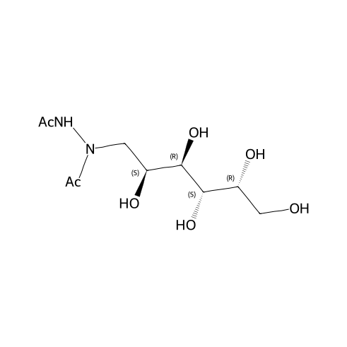 CC(=O)NN(C[C@H](O)[C@@H](O)[C@@H](O)[C@H](O)CO)C(C)=O